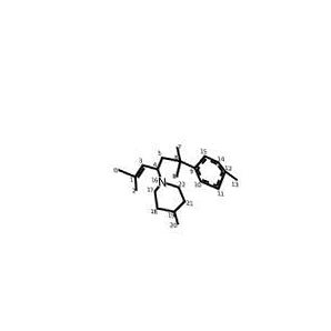 CC(C)=CC(CC(C)(C)c1ccc(C)cc1)N1CCC(C)CC1